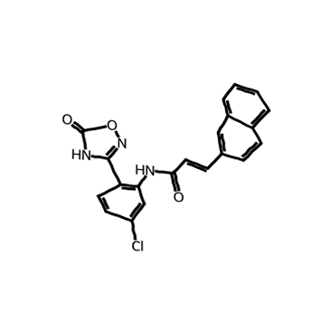 O=C(C=Cc1ccc2ccccc2c1)Nc1cc(Cl)ccc1-c1noc(=O)[nH]1